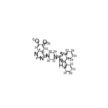 COc1cc2ncnc(N3CCN(C(=S)NC(c4ccccc4)c4ccccc4)CC3)c2cc1OC